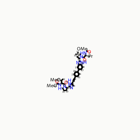 COC(=O)N[C@H](C(=O)N1C[Si](C)(C)C[C@H]1c1nc2cc(-c3ccc(C#Cc4cnc([C@@H]5CCCN5C(=O)[C@@H](NC(=O)OC)C(C)OC)[nH]4)cc3)ccc2[nH]1)C(C)C